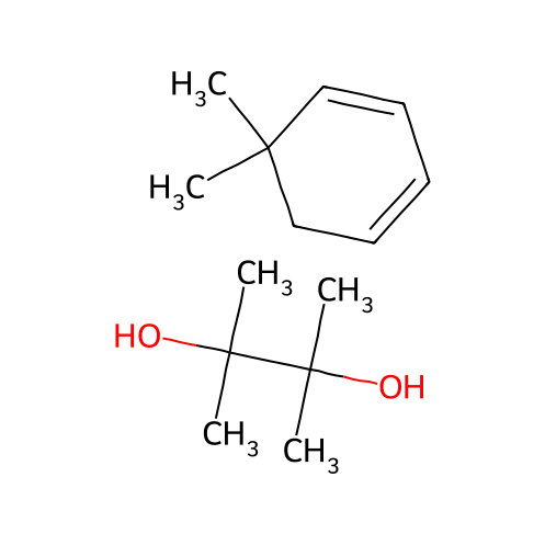 CC(C)(O)C(C)(C)O.CC1(C)C=CC=CC1